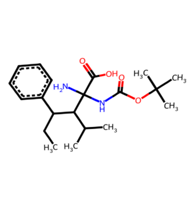 CCC(c1ccccc1)C(C(C)C)C(N)(NC(=O)OC(C)(C)C)C(=O)O